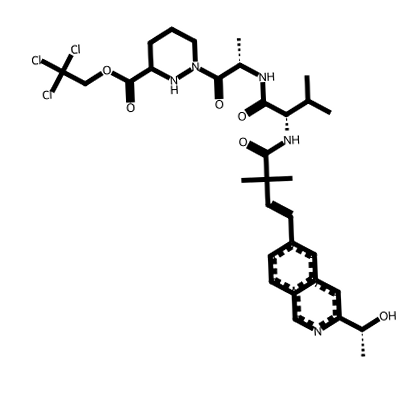 CC(C)[C@H](NC(=O)C(C)(C)/C=C/c1ccc2cnc([C@@H](C)O)cc2c1)C(=O)N[C@@H](C)C(=O)N1CCCC(C(=O)OCC(Cl)(Cl)Cl)N1